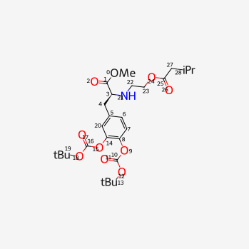 COC(=O)[C@H](Cc1ccc(OC(=O)OC(C)(C)C)c(OC(=O)OC(C)(C)C)c1)NCCOC(=O)CC(C)C